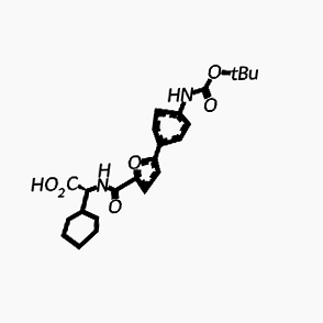 CC(C)(C)OC(=O)Nc1ccc(-c2ccc(C(=O)N[C@H](C(=O)O)C3CCCCC3)o2)cc1